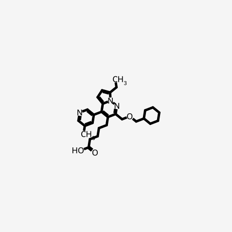 CCc1ccc2c(-c3cncc(C)c3)c(CCCCC(=O)O)c(COCC3CCCCC3)nn12